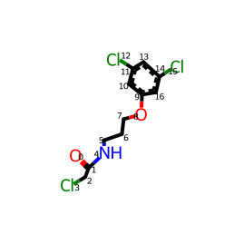 O=C(CCl)NCCCOc1cc(Cl)cc(Cl)c1